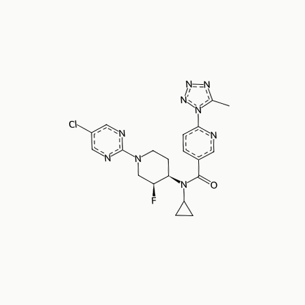 Cc1nnnn1-c1ccc(C(=O)N(C2CC2)[C@@H]2CCN(c3ncc(Cl)cn3)C[C@@H]2F)cn1